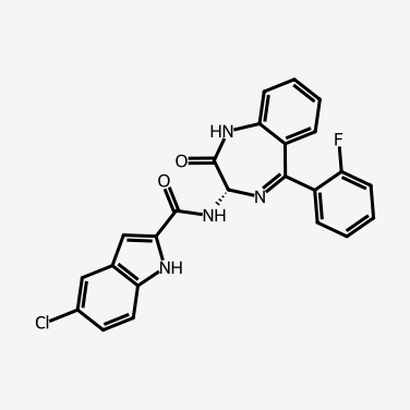 O=C(N[C@H]1N=C(c2ccccc2F)c2ccccc2NC1=O)c1cc2cc(Cl)ccc2[nH]1